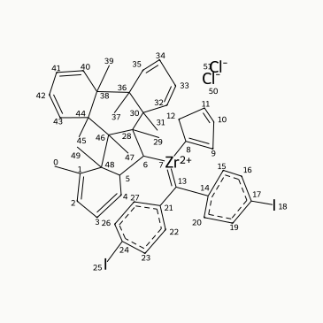 CC1=CC=CC2[CH]([Zr+2]([C]3=CC=CC3)=[C](c3ccc(I)cc3)c3ccc(I)cc3)C3(C)C4(C)C=CC=CC4(C)C4(C)C=CC=CC4(C)C3(C)C12C.[Cl-].[Cl-]